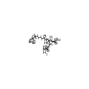 CC(C)(CCCCC(=O)NCC(=O)N[C@@H](CCCNC(N)=O)C(=O)C(C)(C)C)OC(CBr)CBr